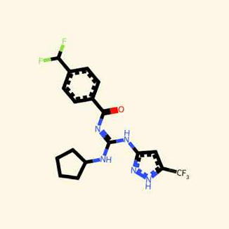 O=C(/N=C(\Nc1cc(C(F)(F)F)[nH]n1)NC1CCCC1)c1ccc(C(F)F)cc1